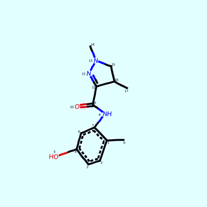 Cc1ccc(O)cc1NC(=O)C1=NN(C)CC1C